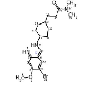 COC1=CC(=N)/C(=C\NC2CCC(CCC(=O)N(C)C)CC2)C=C1Br